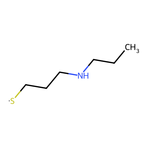 CCCNCCC[S]